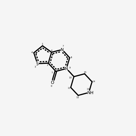 O=c1c2sccc2ncn1C1CCNCC1